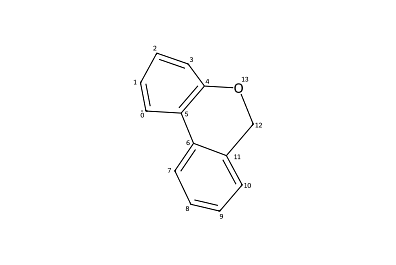 [c]1cccc2c1-c1ccccc1CO2